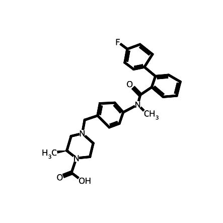 C[C@H]1CN(Cc2ccc(N(C)C(=O)c3ccccc3-c3ccc(F)cc3)cc2)CCN1C(=O)O